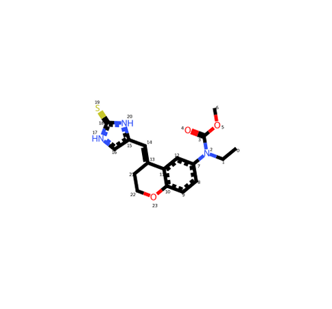 CCN(C(=O)OC)c1ccc2c(c1)/C(=C/c1c[nH]c(=S)[nH]1)CCO2